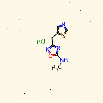 CNc1nc(Cc2cncs2)no1.Cl